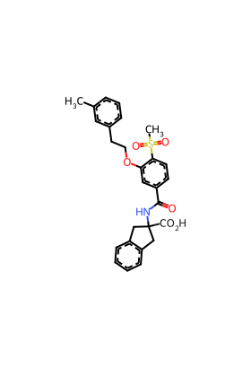 Cc1cccc(CCOc2cc(C(=O)NC3(C(=O)O)Cc4ccccc4C3)ccc2S(C)(=O)=O)c1